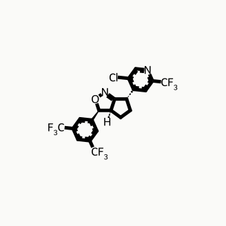 FC(F)(F)c1cc([C@H]2ON=C3[C@H](c4cc(C(F)(F)F)ncc4Cl)CC[C@H]32)cc(C(F)(F)F)c1